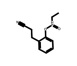 CC[PH](=O)Oc1ccccc1CCC#N